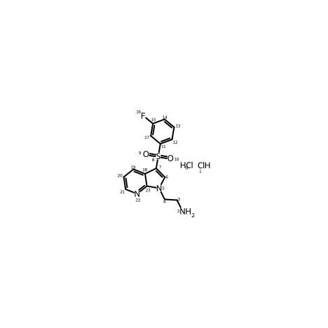 Cl.Cl.NCCn1cc(S(=O)(=O)c2cccc(F)c2)c2cccnc21